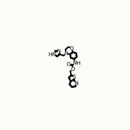 O=C(Nc1ccc2c(c1)N(Cc1c[nH]cn1)CCO2)OCc1cc2cccnc2s1